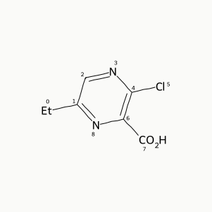 CCc1cnc(Cl)c(C(=O)O)n1